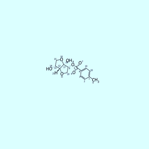 Cc1ccc(S(=O)(=O)O[C@@H]2CO[C@@H]3[C@H](O)CO[C@]32O)cc1